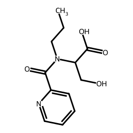 CCCN(C(=O)c1ccccn1)C(CO)C(=O)O